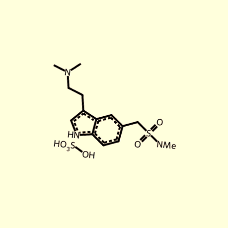 CNS(=O)(=O)Cc1ccc2[nH]cc(CCN(C)C)c2c1.O=S(=O)(O)O